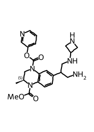 COC(=O)N1c2ccc(C(CN)CNC3CNC3)cc2N(C(=O)Oc2cccnc2)C[C@@H]1C